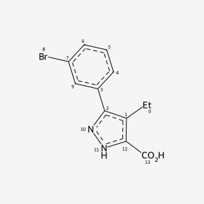 CCc1c(-c2cccc(Br)c2)n[nH]c1C(=O)O